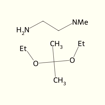 CCOC(C)(C)OCC.CNCCN